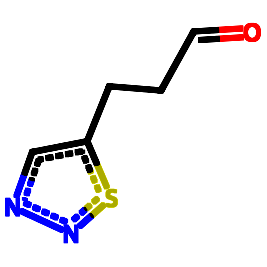 O=CCCc1cnns1